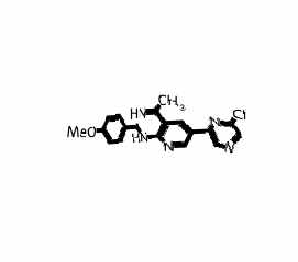 COc1ccc(CNc2ncc(-c3cncc(Cl)n3)cc2C(C)=N)cc1